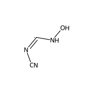 N#C/N=[C]\NO